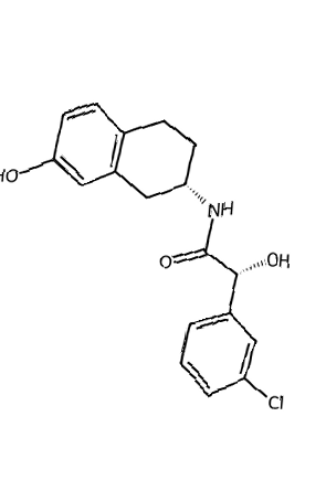 O=C(N[C@H]1CCc2ccc(O)cc2C1)[C@H](O)c1cccc(Cl)c1